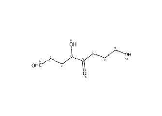 O=[C]CCC(O)C(=O)CCCO